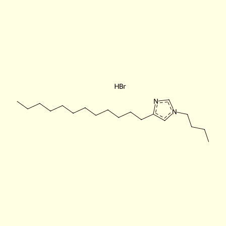 Br.CCCCCCCCCCCCc1cn(CCCC)cn1